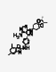 Cc1cc(C)c2oc(Nc3ccc(-c4nn(C5CCC6(CC5)O[C@H](C)[C@@H](C)O6)c5ncnc(N)c45)cc3)nc2c1